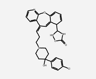 O=C1NC(C2C=CC=C3Oc4ncccc4C(=CCCN4CCC(O)(c5ccc(Cl)cc5)CC4)C=C32)NO1